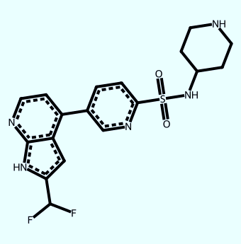 O=S(=O)(NC1CCNCC1)c1ccc(-c2ccnc3[nH]c(C(F)F)cc23)cn1